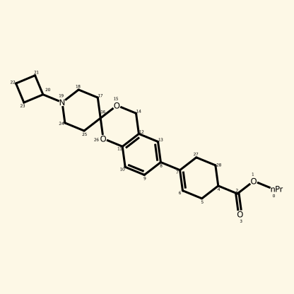 CCCOC(=O)C1CC=C(c2ccc3c(c2)COC2(CCN(C4CCC4)CC2)O3)CC1